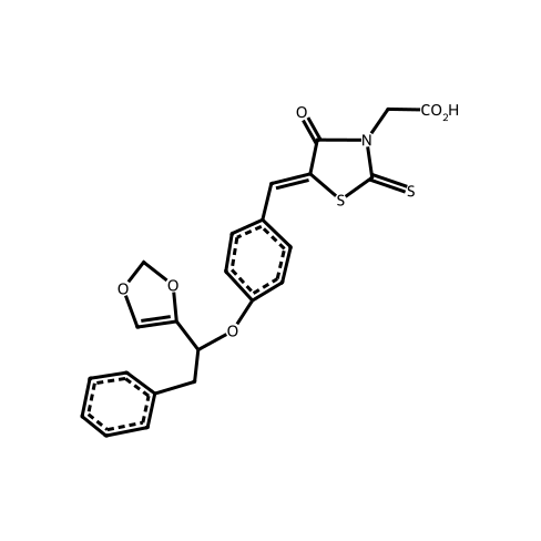 O=C(O)CN1C(=O)C(=Cc2ccc(OC(Cc3ccccc3)C3=COCO3)cc2)SC1=S